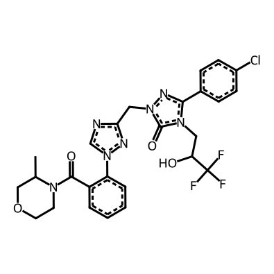 CC1COCCN1C(=O)c1ccccc1-n1cnc(Cn2nc(-c3ccc(Cl)cc3)n(CC(O)C(F)(F)F)c2=O)n1